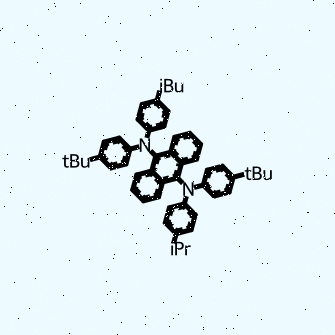 CCC(C)c1ccc(N(c2ccc(C(C)(C)C)cc2)c2c3ccccc3c(N(c3ccc(C(C)C)cc3)c3ccc(C(C)(C)C)cc3)c3ccccc23)cc1